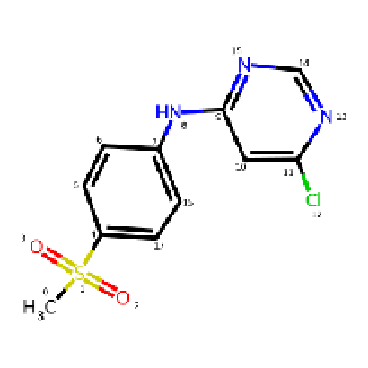 CS(=O)(=O)c1ccc(Nc2cc(Cl)ncn2)cc1